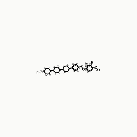 CCCC1CCC(C2CCC(C3CCC(c4ccc(COc5ccc(OCC)c(F)c5F)cc4)CC3)CC2)CO1